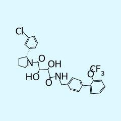 O=C(NCc1ccc(-c2ccccc2OC(F)(F)F)cc1)[C@H](O)[C@@H](O)C(=O)N1CCC[C@@H]1c1cccc(Cl)c1